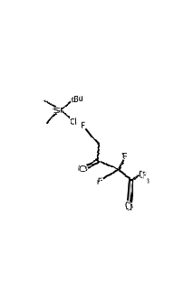 CC(C)(C)[Si](C)(C)Cl.O=C(CF)C(F)(F)C(=O)C(F)(F)F